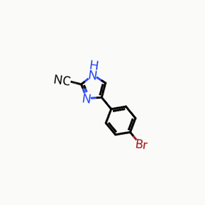 N#Cc1nc(-c2ccc(Br)cc2)c[nH]1